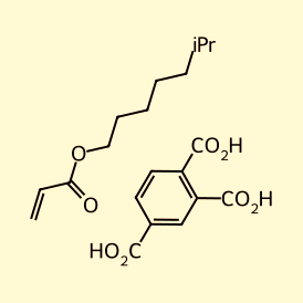 C=CC(=O)OCCCCCC(C)C.O=C(O)c1ccc(C(=O)O)c(C(=O)O)c1